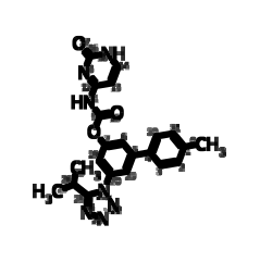 Cc1ccc(-c2cc(OC(=O)Nc3cc[nH]c(=O)n3)cc(-n3nnnc3C(C)C)c2)cc1